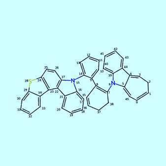 C1=CCC=c2c(n(C3=C(c4ccccc4-n4c5ccccc5c5c6c(ccc54)sc4ccccc46)C=CCC3)c3ccccc23)=C1